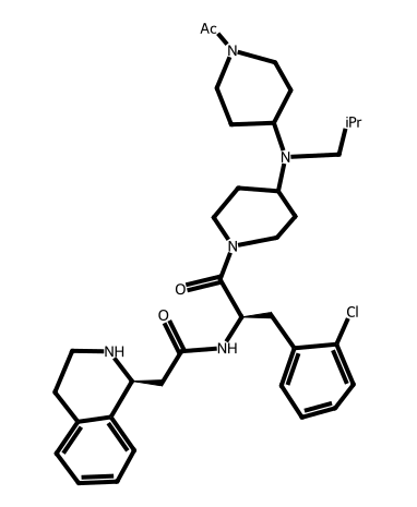 CC(=O)N1CCC(N(CC(C)C)C2CCN(C(=O)[C@@H](Cc3ccccc3Cl)NC(=O)C[C@@H]3NCCc4ccccc43)CC2)CC1